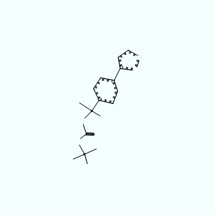 CC(C)(C)OC(=O)NC(C)(C)c1ccc(-c2ccno2)cc1